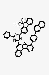 CC1(C)c2ccccc2-c2ccc(-c3nc(-c4ccccc4)nc(-c4cc5ccccc5c5c4sc4c(-c6ccc(-c7ccc8ccccc8c7)cc6)cccc45)n3)cc21